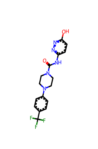 O=C(Nc1ccc(O)nn1)N1CCN(c2ccc(C(F)(F)F)cc2)CC1